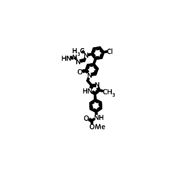 COC(=O)Nc1ccc(-c2[nH]c(Cn3ccc(-c4cc(Cl)ccc4N(C)/C=N\N=N)cc3=O)nc2C)cc1